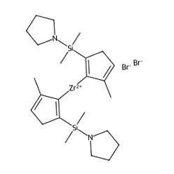 CC1=CCC([Si](C)(C)N2CCCC2)=[C]1[Zr+2][C]1=C([Si](C)(C)N2CCCC2)CC=C1C.[Br-].[Br-]